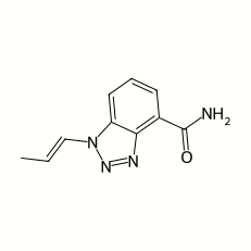 CC=Cn1nnc2c(C(N)=O)cccc21